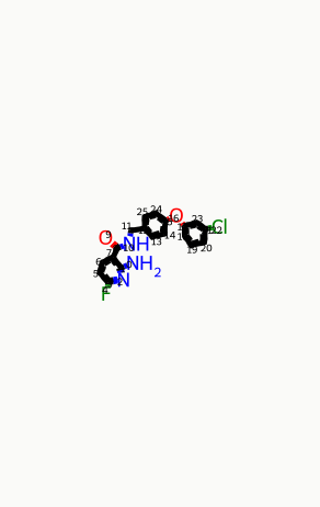 Nc1nc(F)ccc1C(=O)NCc1ccc(Oc2cccc(Cl)c2)cc1